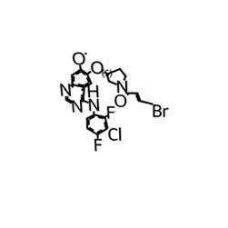 COc1cc2ncnc(Nc3ccc(F)c(Cl)c3F)c2cc1O[C@H]1CCN(C(=O)C=CCBr)C1